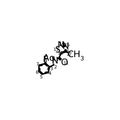 CC(=O)N(Cc1ccccc1F)C(=O)c1snnc1C